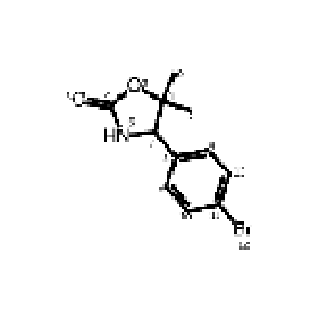 CC1(C)OC(=O)NC1c1ccc(Br)cc1